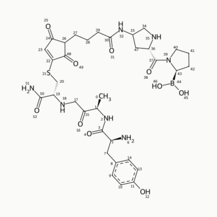 C[C@@H](NC(=O)[C@@H](N)Cc1ccc(O)cc1)C(=O)CN[C@@H](CSC1=CC(=O)C(CCCC(=O)NC2CN[C@H](C(=O)N3CCC[C@H]3B(O)O)C2)C1=O)C(N)=O